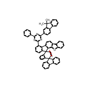 CC1(C)c2ccccc2-c2ccc(-c3nc(-c4ccccc4)nc(-c4cccc5c4-c4ccc6c(oc7ccccc76)c4C54c5ccccc5C5(c6ccccc6-c6ccccc65)c5ccccc54)n3)cc21